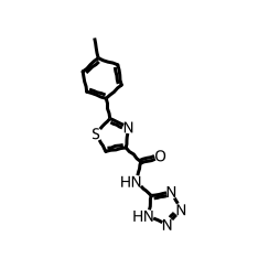 Cc1ccc(-c2nc(C(=O)Nc3nnn[nH]3)cs2)cc1